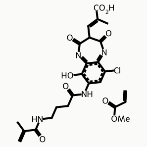 C=C(C)C(=O)NCCCC(=O)Nc1cc(Cl)c2c(c1O)=NC(=O)C(C=C(C)C(=O)O)C(=O)N=2.C=CC(=O)OC